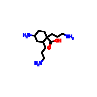 NCCCC1CC(N)CCC1(CCCN)C(=O)O